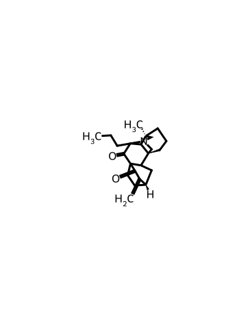 C=C1C(=O)C23CC[C@H]1CC2[C@@]12CCC[C@@](C)(CN(CCC)C1)C2CC3=O